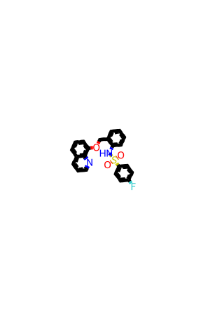 O=S(=O)(Nc1ccccc1COc1cccc2cccnc12)c1ccc(F)cc1